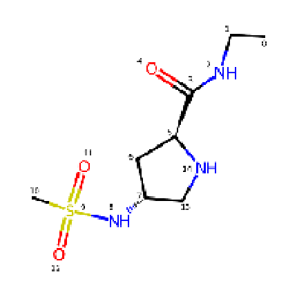 CCNC(=O)[C@@H]1C[C@@H](NS(C)(=O)=O)CN1